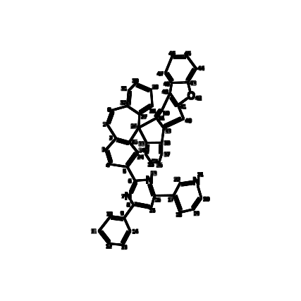 C1=Cc2ccc(-c3nc(-c4ccccc4)cc(-c4cccnc4)n3)cc2C2(c3ccccc31)c1ccccc1-c1cc3oc4ccccc4c3cc12